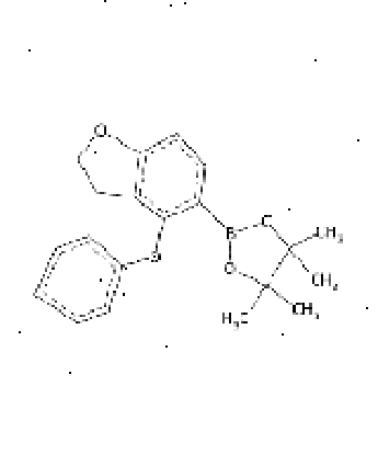 CC1(C)OB(c2ccc3c(c2Oc2ccccc2)CCO3)OC1(C)C